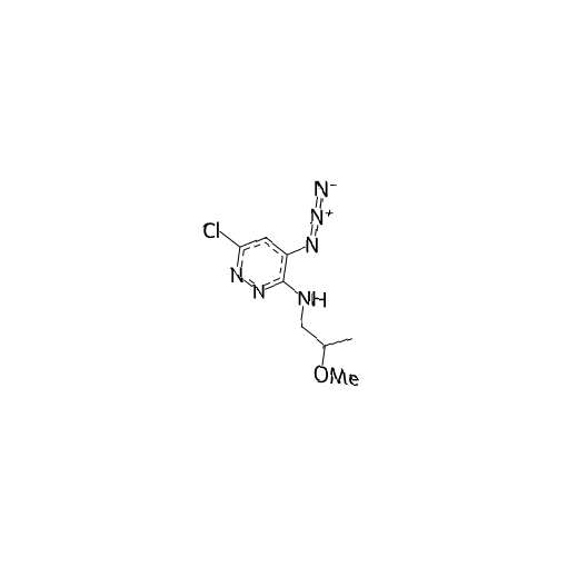 COC(C)CNc1nnc(Cl)cc1N=[N+]=[N-]